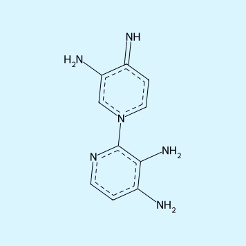 N=c1ccn(-c2nccc(N)c2N)cc1N